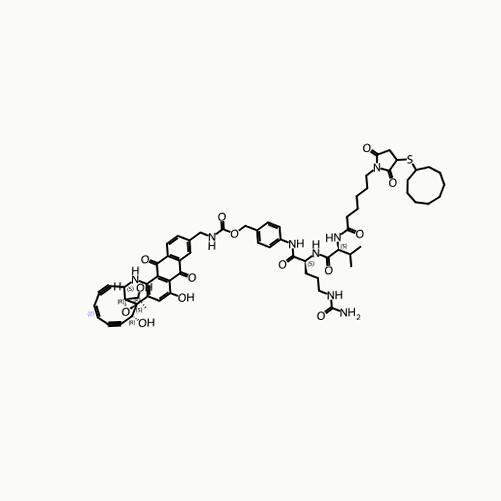 CC(C)[C@H](NC(=O)CCCCCN1C(=O)CC(SC2CCCCCCCC2)C1=O)C(=O)N[C@@H](CCCNC(N)=O)C(=O)Nc1ccc(COC(=O)NCc2ccc3c(c2)C(=O)c2c(O)cc4c(c2C3=O)N[C@H]2C#C/C=C\C#C[C@@H](O)[C@@]43O[C@@]23[C@@H](C)O)cc1